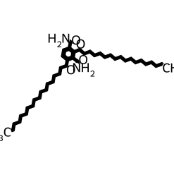 CCCCCCCCCCCCCCCCCC(=O)c1ccc(C(N)=O)c(C(=O)CCCCCCCCCCCCCCCCC)c1C(N)=O